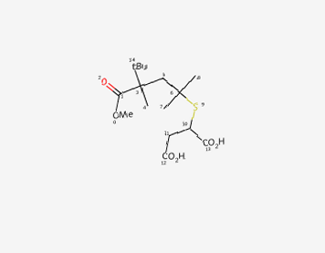 COC(=O)C(C)(CC(C)(C)SC(CC(=O)O)C(=O)O)C(C)(C)C